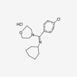 Cl.Clc1ccc(C(=NC2CCCCC2)N2CCOCC2)cc1